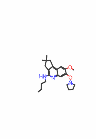 CCCCNc1nc2cc(ON3CCCC3)c(OC)cc2c2c1CC(C)(C)C2